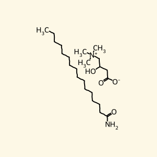 CCCCCCCCCCCCCCCC(N)=O.C[N+](C)(C)CC(O)CC(=O)[O-]